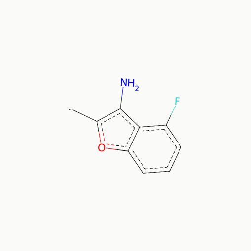 [CH2]c1oc2cccc(F)c2c1N